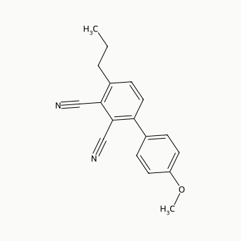 CCCc1ccc(-c2ccc(OC)cc2)c(C#N)c1C#N